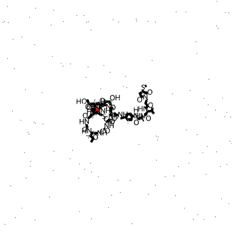 CC[C@H](C)[C@@H]1NC(=O)CNC(=O)[C@@H]2Cc3c([nH]c4ccccc34)SC[C@H](NC(=O)CNC1=O)C(=O)N[C@@H](CC(=O)NCc1ccc(NC(=O)[C@H](C)NC(=O)C(NC(=O)CCN3C(=O)CC(SC)C3=O)C(C)C)cc1)C(=O)N1C[C@H](O)C[C@H]1C(=O)N[C@@H]([C@@H](C)[C@@H](O)CO)C(=O)N2